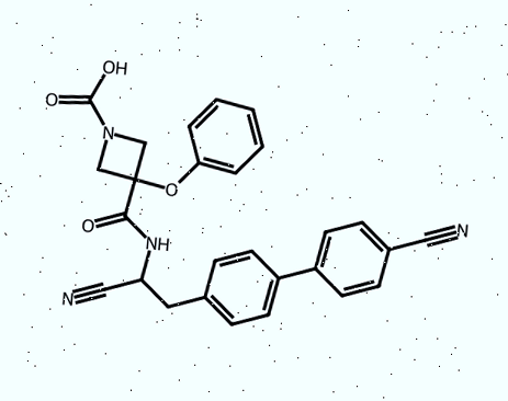 N#Cc1ccc(-c2ccc(CC(C#N)NC(=O)C3(Oc4ccccc4)CN(C(=O)O)C3)cc2)cc1